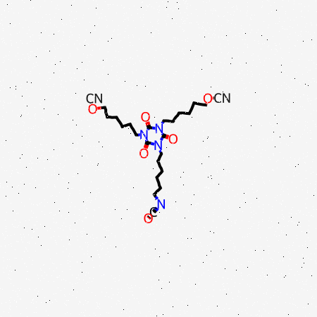 N#COCCCCCCn1c(=O)n(CCCCCCN=C=O)c(=O)n(CCCCCCOC#N)c1=O